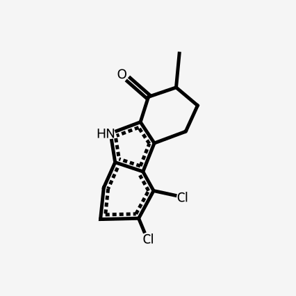 CC1CCc2c([nH]c3ccc(Cl)c(Cl)c23)C1=O